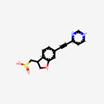 O=S(O)CC1COc2cc(C#Cc3ccncn3)ccc21